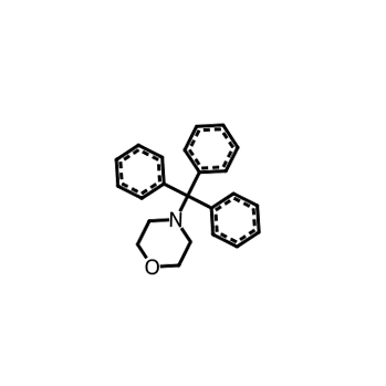 c1ccc(C(c2ccccc2)(c2ccccc2)N2CCOCC2)cc1